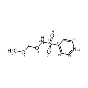 COCONS(=O)(=O)c1ccncc1